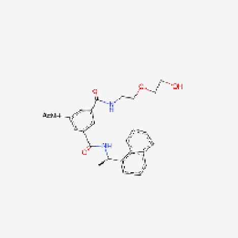 CC(=O)Nc1cc(C(=O)NCCOCCO)cc(C(=O)N[C@H](C)c2cccc3ccccc23)c1